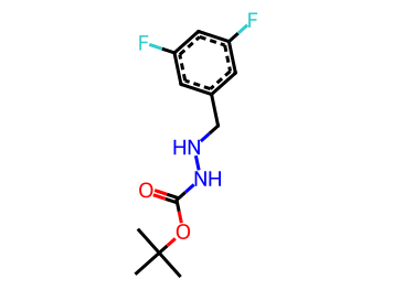 CC(C)(C)OC(=O)NNCc1cc(F)cc(F)c1